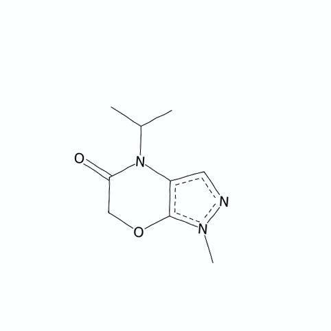 CC(C)N1C(=O)COc2c1cnn2C